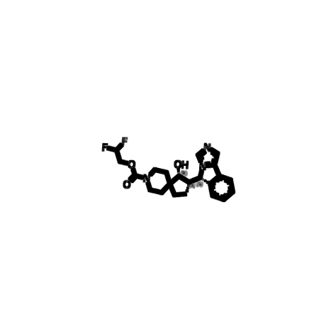 O=C(OCC(F)F)N1CCC2(CC[C@@H]([C@H]3c4ccccc4-c4cncn43)[C@H]2O)CC1